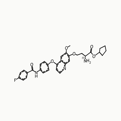 COc1cc2c(Oc3ccc(NC(=O)c4ccc(F)cc4)cc3)ccnc2cc1OCC[C@H](N)C(=O)OC1CCCC1